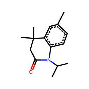 Cc1ccc2c(c1)C(C)(C)CC(=O)N2C(C)C